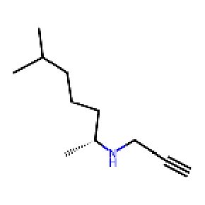 C#CCN[C@H](C)CCCC(C)C